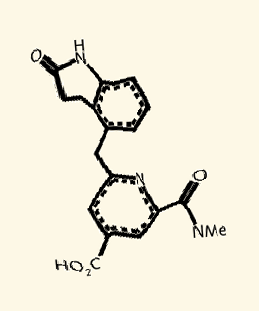 CNC(=O)c1cc(C(=O)O)cc(Cc2cccc3c2CC(=O)N3)n1